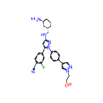 N#Cc1ccc(-c2cc(NC[C@H]3CCC[C@H](N)C3)nn2-c2ccc(-c3cnn(CCO)c3)cc2)cc1F